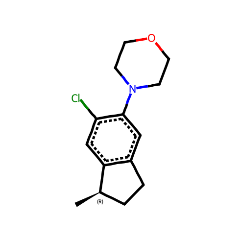 C[C@@H]1CCc2cc(N3CCOCC3)c(Cl)cc21